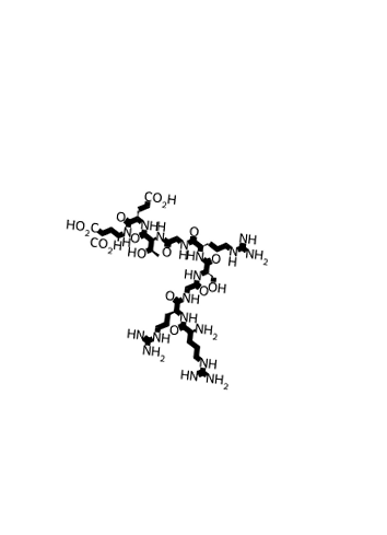 C[C@@H](O)[C@H](NC(=O)CNC(=O)[C@H](CCCNC(=N)N)NC(=O)[C@H](CO)NC(=O)CNC(=O)[C@H](CCCNC(=N)N)NC(=O)[C@@H](N)CCCNC(=N)N)C(=O)N[C@@H](CCC(=O)O)C(=O)N[C@@H](CCC(=O)O)C(=O)O